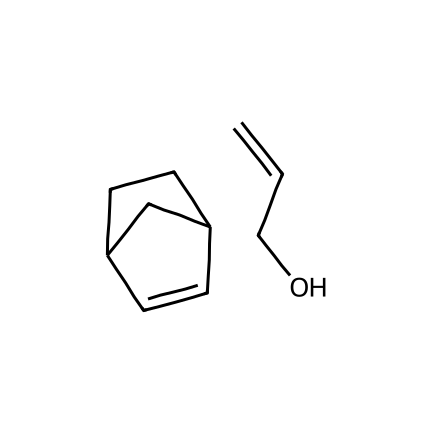 C1=CC2CCC1C2.C=CCO